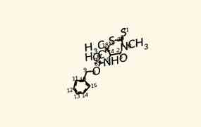 CN1C(=O)C(NC(=O)OCc2ccccc2)C(C)(C)SC1=S